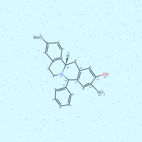 COc1ccc2c(c1)CCN1C(c3ccccc3)c3cc([N+](=O)[O-])c(O)cc3C[C@@H]21